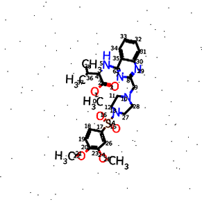 COC(=O)[C@@H](Nc1nc(CN2CCN(S(=O)(=O)c3ccc(OC)c(OC)c3)CC2)nc2ccccc12)C(C)C